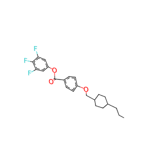 CCCC1CCC(COc2ccc(C(=O)Oc3cc(F)c(F)c(F)c3)cc2)CC1